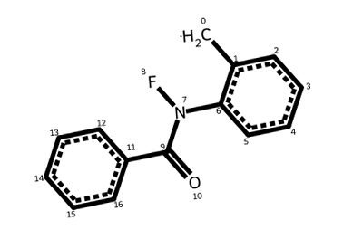 [CH2]c1ccccc1N(F)C(=O)c1ccccc1